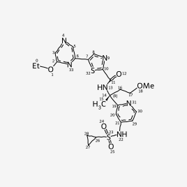 CCOc1cncc(-c2cnc(C(=O)N[C@](C)(CCOC)c3cc(NS(=O)(=O)C4CC4)ccn3)s2)n1